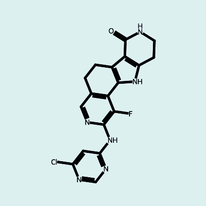 O=C1NCCc2[nH]c3c(c21)CCc1cnc(Nc2cc(Cl)ncn2)c(F)c1-3